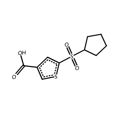 O=C(O)c1csc(S(=O)(=O)C2CCCC2)c1